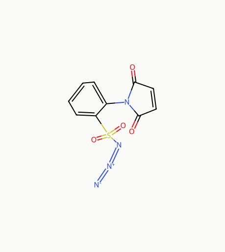 [N-]=[N+]=NS(=O)(=O)c1ccccc1N1C(=O)C=CC1=O